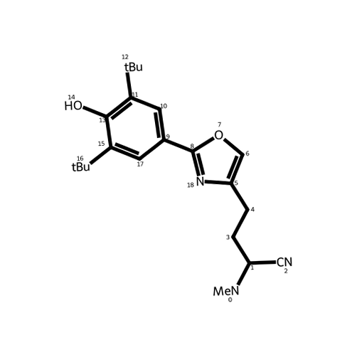 CNC(C#N)CCc1coc(-c2cc(C(C)(C)C)c(O)c(C(C)(C)C)c2)n1